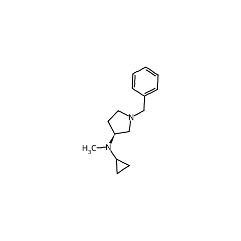 CN(C1CC1)[C@H]1CCN(Cc2ccccc2)C1